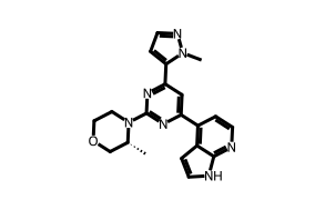 C[C@@H]1COCCN1c1nc(-c2ccnc3[nH]ccc23)cc(-c2ccnn2C)n1